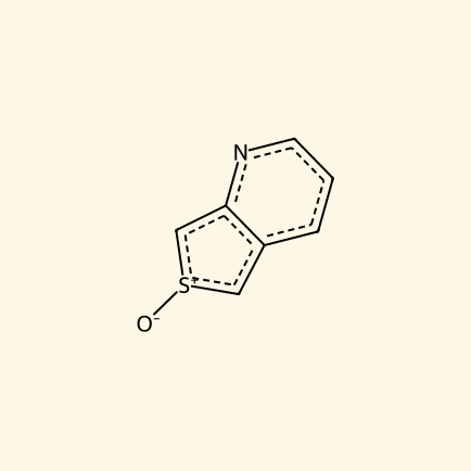 [O-][s+]1cc2cccnc2c1